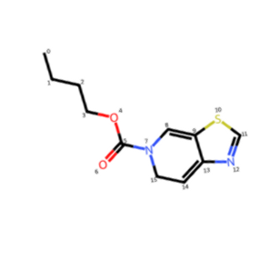 CCCCOC(=O)N1C=c2scnc2=CC1